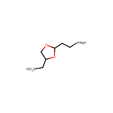 CCCCCCCCCC1OCC(CS(=O)(=O)O)O1